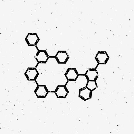 c1ccc(-c2cc(-c3ccccc3)nc(-c3cccc(-c4cccc(-c5cccc(-c6cccc(-c7nc(-c8ccccc8)nc8oc9ccccc9c78)c6)c5)c4)c3)c2)cc1